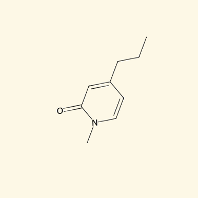 CCCc1ccn(C)c(=O)c1